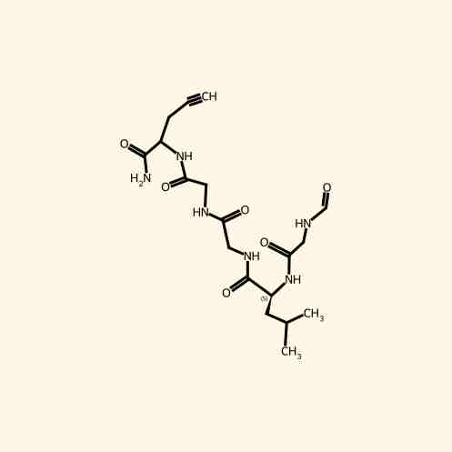 C#CCC(NC(=O)CNC(=O)CNC(=O)[C@H](CC(C)C)NC(=O)CNC=O)C(N)=O